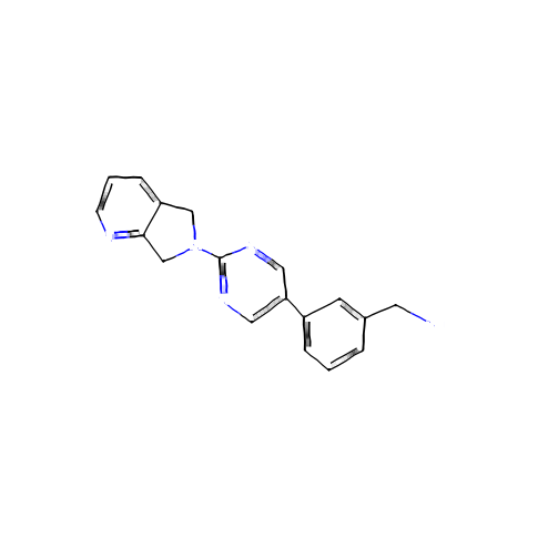 NCc1cccc(-c2cnc(N3Cc4cccnc4C3)nc2)c1